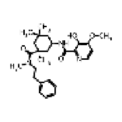 COc1ccnc(C(=O)N[C@@H]2CC(C)(C)C[C@](C)(C(=O)N(C)CCc3ccccc3)C2)c1O